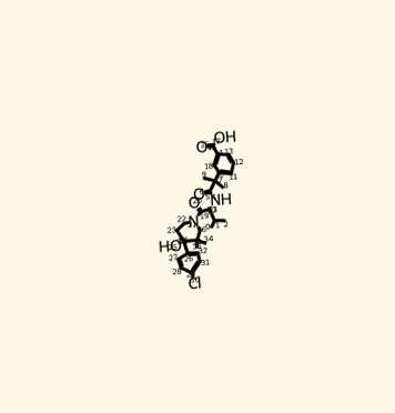 CC(C)[C@@H](NC(=O)C(C)(C)c1cccc(C(=O)O)c1)C(=O)N1CC[C@](O)(c2ccc(Cl)cc2)C(C)(C)C1